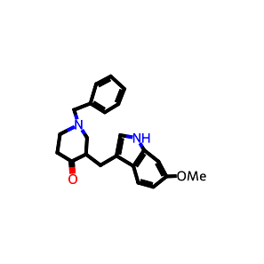 COc1ccc2c(CC3CN(Cc4ccccc4)CCC3=O)c[nH]c2c1